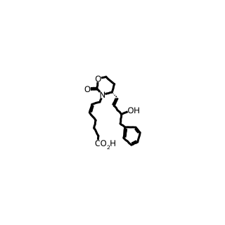 O=C(O)CCC/C=C\CN1C(=O)OCC[C@@H]1/C=C/C(O)Cc1ccccc1